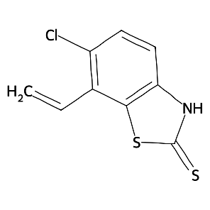 C=Cc1c(Cl)ccc2[nH]c(=S)sc12